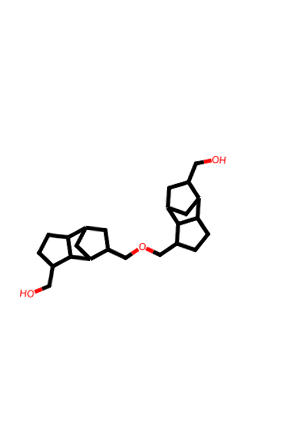 OCC1CC2CC1C1CCC(COCC3CC4CC3C3C(CO)CCC43)C21